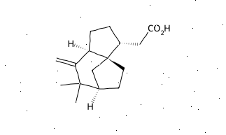 C=C1[C@H]2CC[C@H](CC(=O)O)[C@@]23CC[C@H](C3)C1(C)C